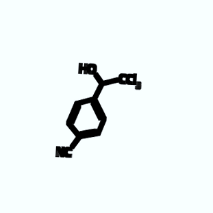 N#Cc1ccc(C(O)C(Cl)(Cl)Cl)cc1